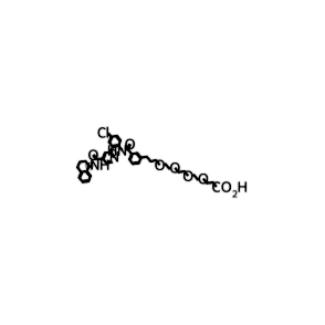 O=C(O)CCOCCOCCOCCOCCCc1cccc(C(=O)Nc2ccc(Cl)cc2-c2cc(C(=O)N[C@H]3CCCc4ccccc43)ccn2)c1